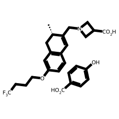 C[C@H]1Cc2cc(OCCCC(F)(F)F)ccc2C=C1CN1CC(C(=O)O)C1.O=C(O)c1ccc(O)cc1